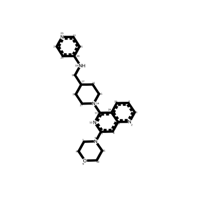 c1cnc2cc(N3CCOCC3)nc(N3CCC(CNc4ccncc4)CC3)c2c1